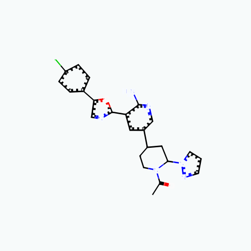 CC(=O)N1CCC(c2cnc(N)c(-c3ncc(-c4ccc(Cl)cc4)o3)c2)CC1n1cccn1